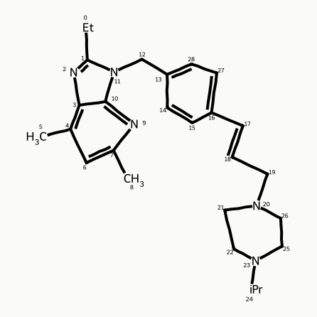 CCc1nc2c(C)cc(C)nc2n1Cc1ccc(C=CCN2CCN(C(C)C)CC2)cc1